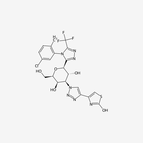 Cc1ccc(Cl)cc1-n1c([C@@H]2O[C@H](CO)[C@H](O)[C@H](n3cc(-c4csc(O)n4)nn3)[C@H]2O)nnc1C(F)(F)F